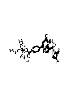 CC(C)(C)OC(=O)N1CCC(c2cc(=O)[nH]c3c(C(=O)N4CC(F)C4F)cnn23)CC1